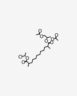 CC(=O)OCC(COC(C)=O)OC(=O)C(C)CCCCCCCCC(C)C(=O)OC(C)Cl